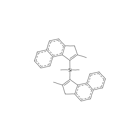 CC1=C([Si](C)(C)C2=C(C)Cc3ccc4ccccc4c32)c2c(ccc3ccccc23)C1